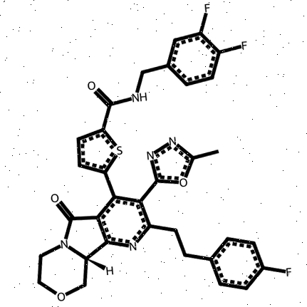 Cc1nnc(-c2c(CCc3ccc(F)cc3)nc3c(c2-c2ccc(C(=O)NCc4ccc(F)c(F)c4)s2)C(=O)N2CCOC[C@@H]32)o1